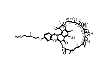 CNCCNCCOc1ccc2nc3c4c5c6c(C)c(O)c4c(=O)c(c-3oc2c1)NC(=O)/C(C)=C\C=C\[C@H](C)[C@H](O)[C@@H](C)[C@@H](O)[C@@H](C)[C@H](OC(C)=O)[C@H](C)[C@@H](OC)/C=C/O[C@@](C)(O6)C5=O